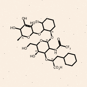 CCC1CCC[C@@H](O[C@@H]2OC(CO)[C@H](O)C(O[C@@H](CC3CCCCC3)C(=O)O)C2NC(=O)C(F)(F)F)C1OC1O[C@@H](C)C(O)C(O)=C1O